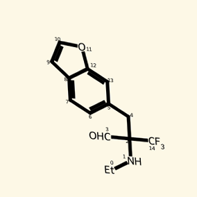 CCNC(C=O)(Cc1ccc2ccoc2c1)C(F)(F)F